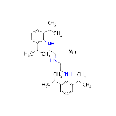 CC(C)c1cccc(C(C)C)c1NCCNCCNc1c(C(C)C)cccc1C(C)C.[Mn]